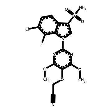 COc1nc(-n2cc(S(N)(=O)=O)c3ccc(Cl)c(F)c32)nc(OC)c1OCC#N